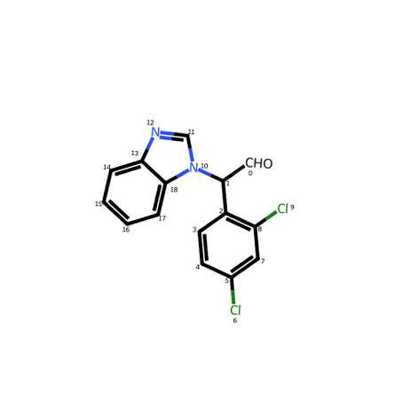 O=CC(c1ccc(Cl)cc1Cl)n1cnc2ccccc21